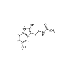 CC(=O)NCCc1c(Br)[nH]c2ccc(O)cc12